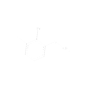 [CH2]Sc1cccc(F)c1Br